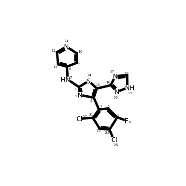 Fc1cc(-c2nc(Nc3ccncc3)sc2-c2nc[nH]n2)c(Cl)cc1Cl